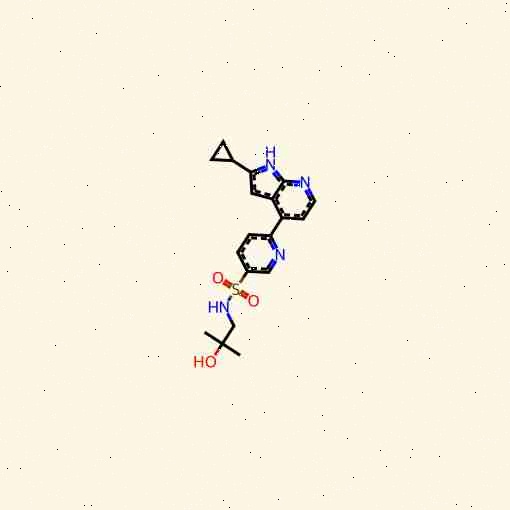 CC(C)(O)CNS(=O)(=O)c1ccc(-c2ccnc3[nH]c(C4CC4)cc23)nc1